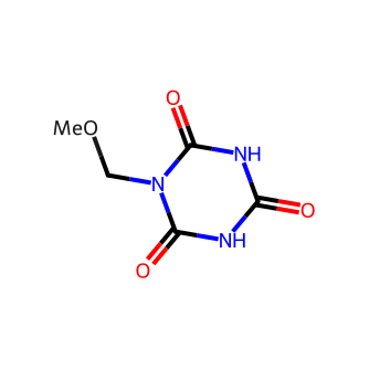 COCn1c(=O)[nH]c(=O)[nH]c1=O